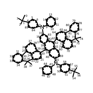 CC(C)(C)c1ccc(N(c2ccccc2)c2ccc3c(-c4ccc5c6c(cccc46)-c4ccccc4C5(C)C)c4cc(N(c5ccccc5)c5ccc(C(C)(C)C)cc5)ccc4c(-c4ccc5c6c(cccc46)C(C)(C)c4ccccc4-5)c3c2)cc1